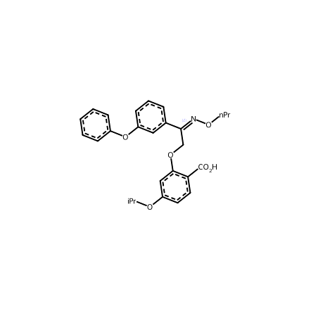 CCCO/N=C(\COc1cc(OC(C)C)ccc1C(=O)O)c1cccc(Oc2ccccc2)c1